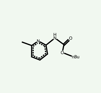 CCCCOC(=O)Nc1cccc(C)n1